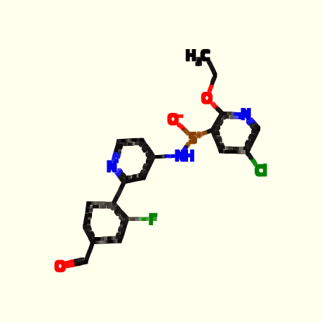 CCOc1ncc(Cl)cc1[S+]([O-])Nc1ccnc(-c2ccc(C=O)cc2F)c1